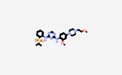 COCCN1CCN(c2ccc(Nc3ncnc(Nc4ccccc4S(=O)(=O)C(C)C)n3)c(OC)c2)CC1